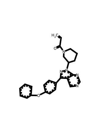 C=CC(=O)N1CCCC(n2nc(-c3ccc(Oc4ccccc4)cc3)c3cncnc32)C1